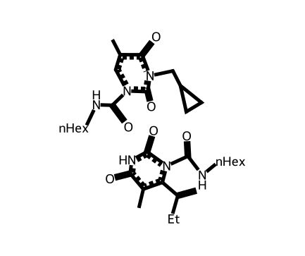 C=C(CC)c1c(C)c(=O)[nH]c(=O)n1C(=O)NCCCCCC.CCCCCCNC(=O)n1cc(C)c(=O)n(CC2CC2)c1=O